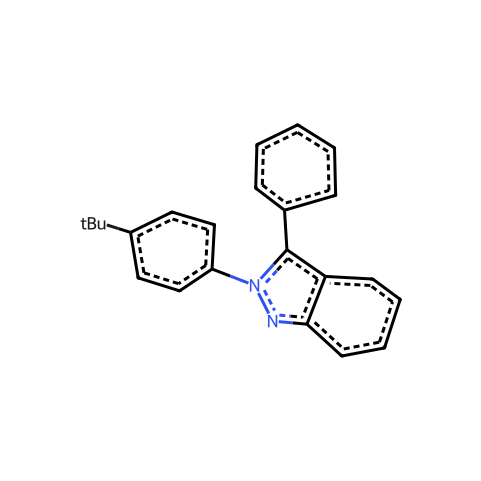 CC(C)(C)c1ccc(-n2nc3ccccc3c2-c2ccccc2)cc1